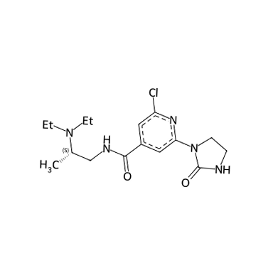 CCN(CC)[C@@H](C)CNC(=O)c1cc(Cl)nc(N2CCNC2=O)c1